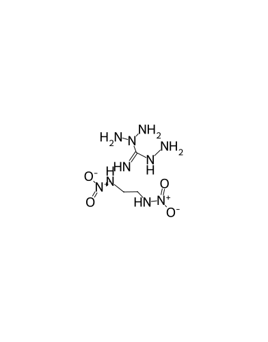 N=C(NN)N(N)N.O=[N+]([O-])NCCN[N+](=O)[O-]